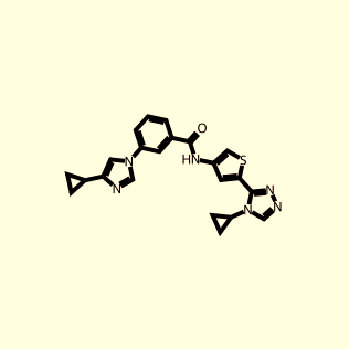 O=C(Nc1csc(-c2nncn2C2CC2)c1)c1cccc(-n2cnc(C3CC3)c2)c1